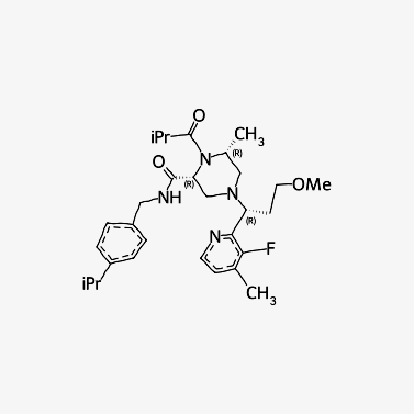 COCC[C@H](c1nccc(C)c1F)N1C[C@@H](C)N(C(=O)C(C)C)[C@@H](C(=O)NCc2ccc(C(C)C)cc2)C1